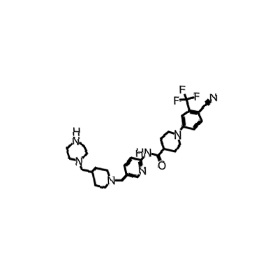 N#Cc1ccc(N2CCC(C(=O)Nc3ccc(CN4CCC(CN5CCNCC5)CC4)cn3)CC2)cc1C(F)(F)F